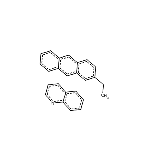 CCc1ccc2cc3ccccc3cc2c1.c1ccc2ncccc2c1